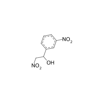 O=[N+]([O-])CC(O)c1cccc([N+](=O)[O-])c1